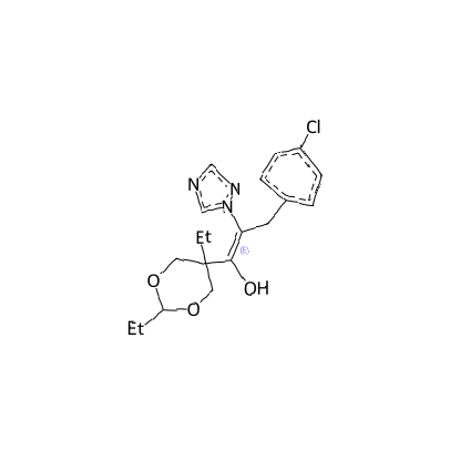 CCC1OCC(CC)(/C(O)=C(/Cc2ccc(Cl)cc2)n2cncn2)CO1